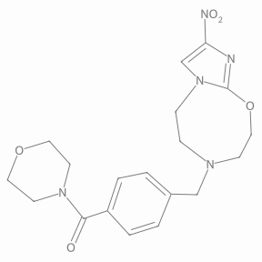 O=C(c1ccc(CN2CCOc3nc([N+](=O)[O-])cn3CC2)cc1)N1CCOCC1